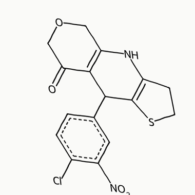 O=C1COCC2=C1C(c1ccc(Cl)c([N+](=O)[O-])c1)C1=C(CCS1)N2